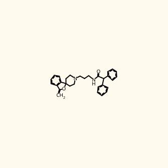 C=C1OC2(CCN(CCCNC(=O)C(c3ccccc3)c3ccccc3)CC2)c2ccccc21